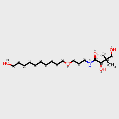 CC(C)(CO)C(O)C(=O)NCCCOCCCCCCCCCCO